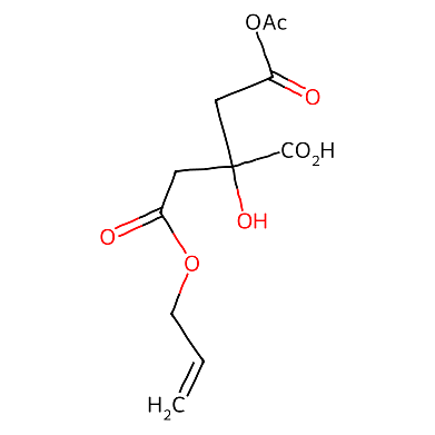 C=CCOC(=O)CC(O)(CC(=O)OC(C)=O)C(=O)O